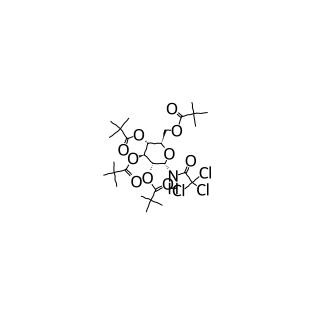 CC(C)(C)C(=O)OC[C@H]1O[C@H](NC(=O)C(Cl)(Cl)Cl)[C@H](OC(=O)C(C)(C)C)[C@@H](OC(=O)C(C)(C)C)[C@@H]1OC(=O)C(C)(C)C